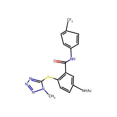 CC(=O)Nc1ccc(Sc2nnnn2C)c(C(=O)Nc2ccc(C(F)(F)F)cc2)c1